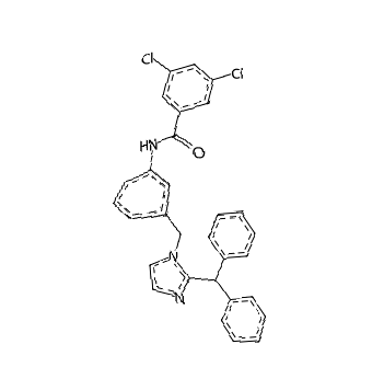 O=C(Nc1cccc(Cn2ccnc2C(c2ccccc2)c2ccccc2)c1)c1cc(Cl)cc(Cl)c1